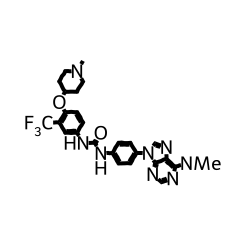 CNc1ncnc2c1ncn2-c1ccc(NC(=O)Nc2ccc(OC3CCN(C)CC3)c(C(F)(F)F)c2)cc1